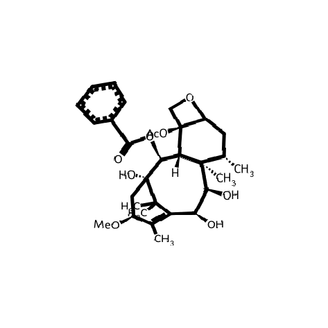 CO[C@H]1C[C@@]2(O)[C@@H](OC(=O)c3ccccc3)[C@H]3[C@@](C)([C@@H](C)CC4OC[C@]43OC(C)=O)[C@@H](O)[C@@H](O)C(=C1C)C2(C)C